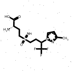 Cc1ccn(C(CCS(=N)(=O)CC[C@H](N)C(=O)O)C(F)(F)F)n1